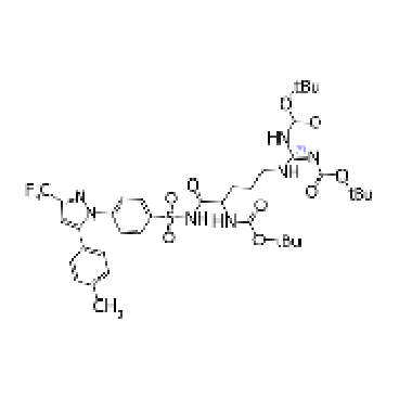 Cc1ccc(-c2cc(C(F)(F)F)nn2-c2ccc(S(=O)(=O)NC(=O)C(CCCN/C(=N\C(=O)OC(C)(C)C)NC(=O)OC(C)(C)C)NC(=O)OC(C)(C)C)cc2)cc1